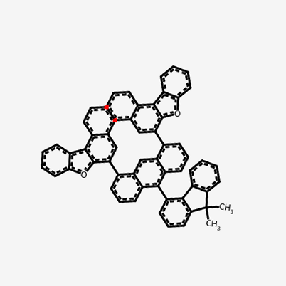 CC1(C)c2ccccc2-c2c(-c3c4cccc(-c5cc6ccccc6c6c5oc5ccccc56)c4cc4c(-c5cc6ccccc6c6c5oc5ccccc56)cccc34)cccc21